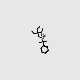 CCC(CC)(CC)C[SiH](I)C(C)(C)c1ccccc1